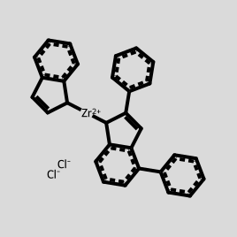 C1=C[CH]([Zr+2][CH]2C(c3ccccc3)=Cc3c(-c4ccccc4)cccc32)c2ccccc21.[Cl-].[Cl-]